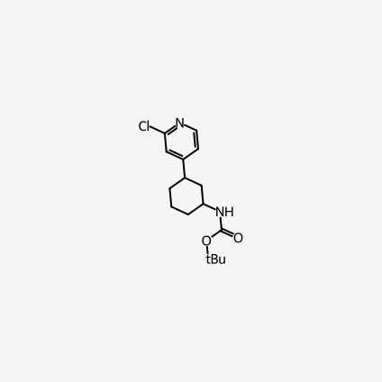 CC(C)(C)OC(=O)NC1CCCC(c2ccnc(Cl)c2)C1